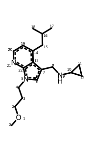 COCCCn1cc(CNC2CC2)c2c(CC(C)C)ccnc21